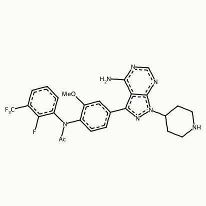 COc1cc(-c2nn(C3CCNCC3)c3ncnc(N)c23)ccc1N(C(C)=O)c1cccc(C(F)(F)F)c1F